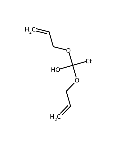 C=CCOC(O)(CC)OCC=C